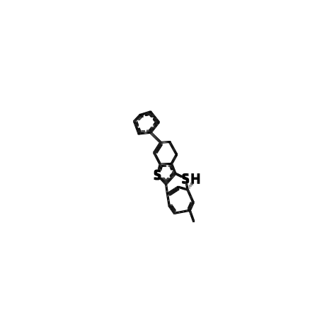 CC1=C[C@H]2C=C(C=C1)c1sc3c(c1S2)CCC(c1ccccc1)=C3